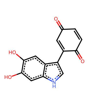 O=C1C=CC(=O)C(c2c[nH]c3cc(O)c(O)cc23)=C1